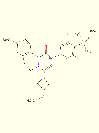 COCC(C)(C)c1c(F)cc(NC(=O)C2c3ccc(OC)cc3CCN2C(=O)[C@H]2C[C@@H](CC(=O)O)C2)cc1F